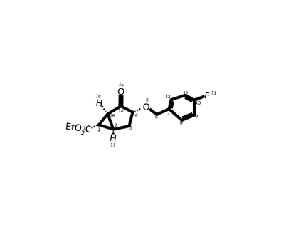 CCOC(=O)[C@H]1[C@@H]2C[C@@H](OCc3ccc(F)cc3)C(=O)[C@@H]21